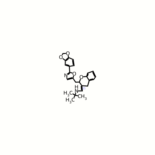 CC(C)(C)N/C=C1/Cc2ccccc2OC1Cc1cnc(-c2ccc3c(c2)OCO3)o1